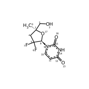 C[C@@]1(CO)CC(F)(F)[C@H](n2ccc(=O)[nH]c2=O)O1